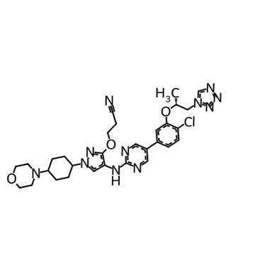 C[C@@H](Cn1cnnn1)Oc1cc(-c2cnc(Nc3cn(C4CCC(N5CCOCC5)CC4)nc3OCCC#N)nc2)ccc1Cl